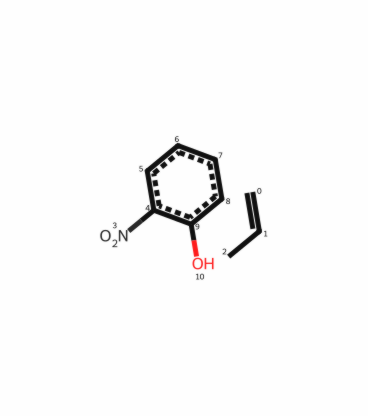 C=CC.O=[N+]([O-])c1ccccc1O